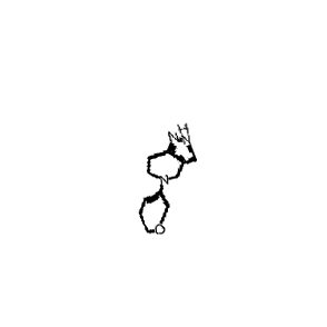 C1=C(N2CCc3n[nH]cc3C2)COCC1